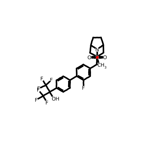 CS(=O)(=O)N1C2CCC1CN(Cc1ccc(-c3ccc(C(O)(C(F)(F)F)C(F)(F)F)cc3)c(F)c1)C2